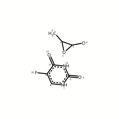 CC1OC1Cl.O=c1[nH]cc(F)c(=O)[nH]1